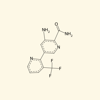 NC(=O)c1ncc(-c2ncccc2C(F)(F)F)cc1N